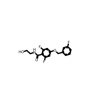 O=C(NCCO)c1c(F)cc(OCc2cccc(F)c2)cc1F